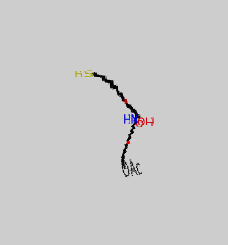 CC(=O)OCCCCCCCCCCCCCCCC(=O)NC(CO)C/C=C/CCCCCCCCCCCCS